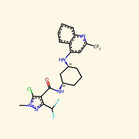 Cn1nc(C(F)F)c(C(=O)N[C@@H]2CCC[C@H](Nc3cc(C(F)(F)F)nc4ccccc34)C2)c1Cl